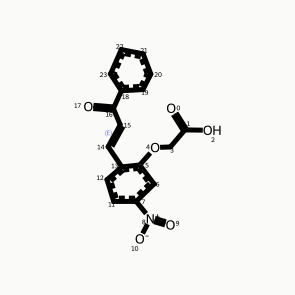 O=C(O)COc1cc([N+](=O)[O-])ccc1/C=C/C(=O)c1ccccc1